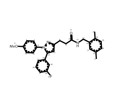 COc1ccc(-n2nc(CCC(=O)NCc3cc(C)ccc3C)cc2-c2cccc(F)c2)cc1